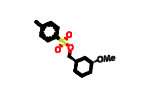 CO[C@@H]1CCC[C@@H](COS(=O)(=O)c2ccc(C)cc2)C1